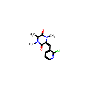 CC1C(=O)N(C)/C(=C/c2cccnc2Cl)C(=O)N1C